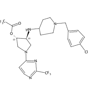 O=C(O[C@H]1CN(c2ccnc(C(F)(F)F)n2)C[C@@H]1NC1CCN(Cc2ccc(Cl)cc2)CC1)C(F)(F)F